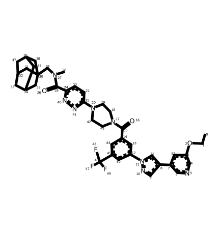 CCOc1cncc(-c2cnn(-c3cc(C(=O)N4CCN(c5ccc(C(=O)N(C)CC67CC8CC(CC(C8)C6)C7)nn5)CC4)cc(C(F)(F)F)c3)c2)c1